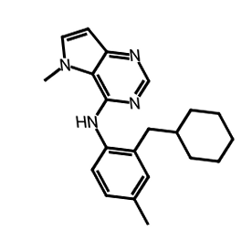 Cc1ccc(Nc2ncnc3ccn(C)c23)c(CC2CCCCC2)c1